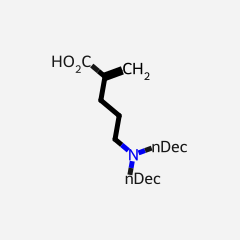 C=C(CCCN(CCCCCCCCCC)CCCCCCCCCC)C(=O)O